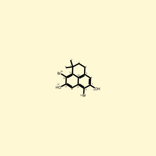 CC1(C)CCc2cc(O)c(Br)c3cc(O)c(Br)c1c23